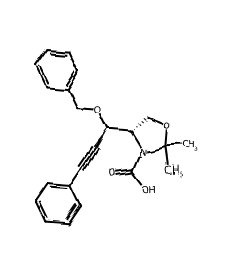 CC1(C)OC[C@@H]([C@@H](C#Cc2ccccc2)OCc2ccccc2)N1C(=O)O